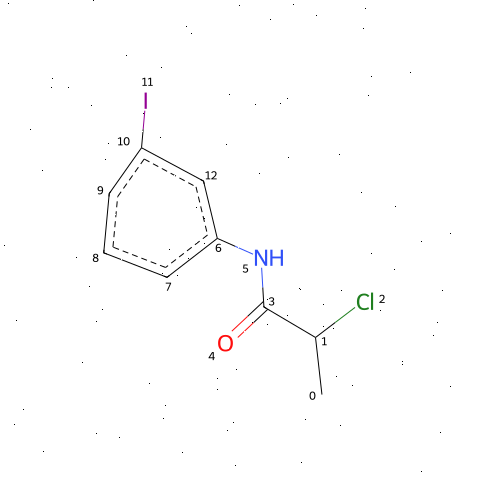 CC(Cl)C(=O)Nc1cccc(I)c1